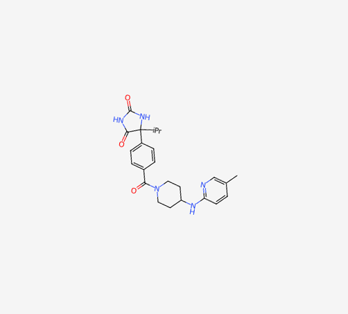 Cc1ccc(NC2CCN(C(=O)c3ccc(C4(C(C)C)NC(=O)NC4=O)cc3)CC2)nc1